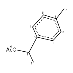 CC(=O)OC(C)c1ccc(C)cc1